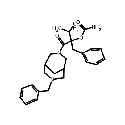 CC(C)C(Cc1ccccc1)(OC(N)=O)C(=O)N1CC2CC(CN(Cc3ccccc3)C2)C1